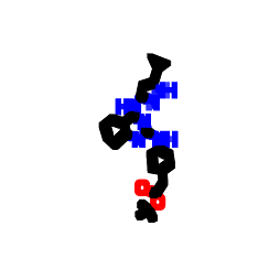 CC(C)(C)OC(=O)Cc1ccc(Nc2nc(Nc3cc(C4CC4)[nH]n3)c3ccccc3n2)cc1